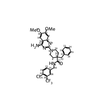 COc1cc2nc(N3CCC(Cc4ccccc4)(C(=O)NCc4ccc(Cl)c(C(F)(F)F)c4)CC3)nc(N)c2cc1OC